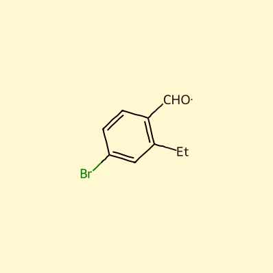 CCc1cc(Br)ccc1[C]=O